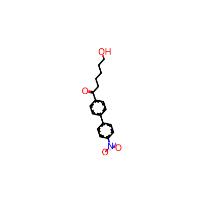 O=C(CCCCCO)c1ccc(-c2ccc([N+](=O)[O-])cc2)cc1